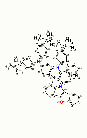 Cc1cc2c3c(c1)-n1c4c(cccc4c4oc5ccccc5c41)B3c1ccc(N(c3ccc(C(C)(C)C)cc3)c3ccc(C(C)(C)C)cc3)cc1N2c1ccc(C(C)(C)C)cc1-c1ccccc1